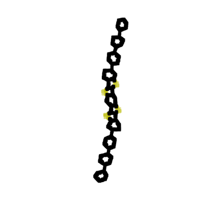 c1ccc(-c2ccc(-c3ccc(-c4ccc5c(c4)sc4c6cc7sc8c9ccc(-c%10ccc(-c%11ccc(-c%12ccccc%12)cc%11)cc%10)cc9sc8c7cc6sc54)cc3)cc2)cc1